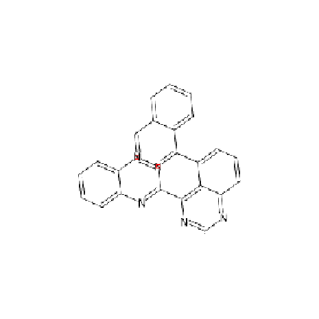 [c]1nc(-c2cnc3ccccc3n2)c2c(-c3nncc4ccccc34)cccc2n1